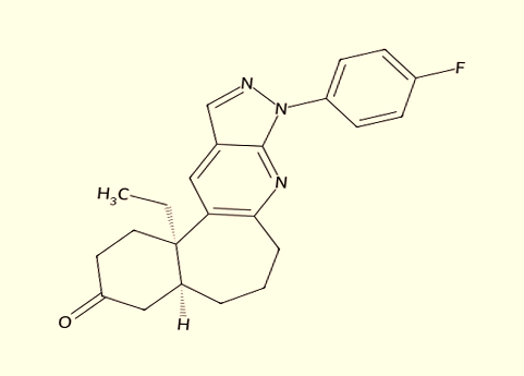 CC[C@@]12CCC(=O)C[C@@H]1CCCc1nc3c(cnn3-c3ccc(F)cc3)cc12